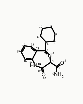 NC(=O)C1N=C(C2CCCCC2)c2ccccc2NC1=O